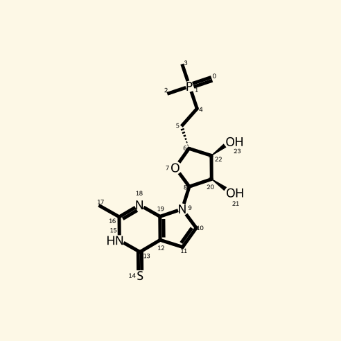 C=P(C)(C)CC[C@H]1OC(n2ccc3c(=S)[nH]c(C)nc32)[C@H](O)[C@@H]1O